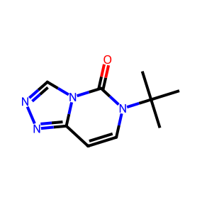 CC(C)(C)n1ccc2nncn2c1=O